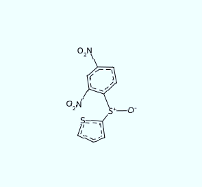 O=[N+]([O-])c1ccc([S+]([O-])c2cccs2)c([N+](=O)[O-])c1